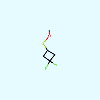 COSC1CC(F)(F)C1